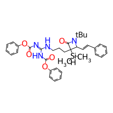 C[SiH](C)C1(CCCNC(=NC(=O)Oc2ccccc2)NC(=O)Oc2ccccc2)C(=O)N(C(C)(C)C)C1C=Cc1ccccc1